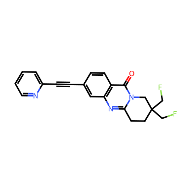 O=c1c2ccc(C#Cc3ccccn3)cc2nc2n1CC(CF)(CF)CC2